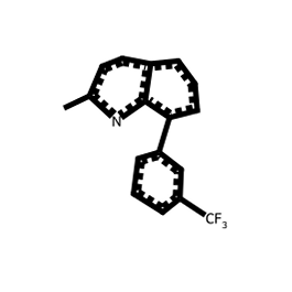 Cc1ccc2cccc(-c3cccc(C(F)(F)F)c3)c2n1